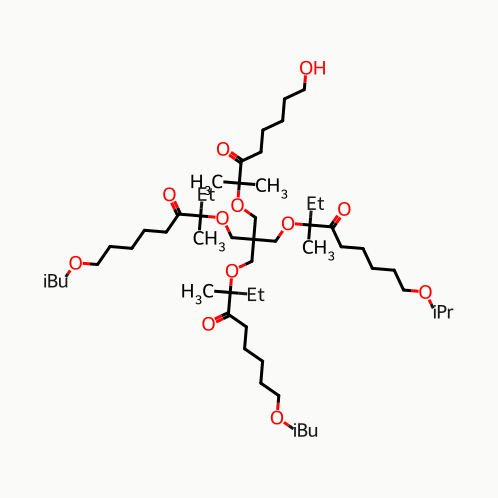 CCC(C)OCCCCCC(=O)C(C)(CC)OCC(COC(C)(C)C(=O)CCCCCO)(COC(C)(CC)C(=O)CCCCCOC(C)C)COC(C)(CC)C(=O)CCCCCOC(C)CC